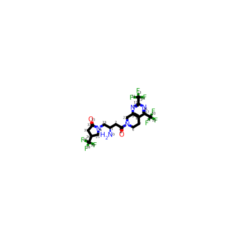 N[C@H](CC(=O)N1CCc2c(nc(C(F)(F)F)nc2C(F)(F)F)C1)CN1CC(C(F)(F)F)CC1=O